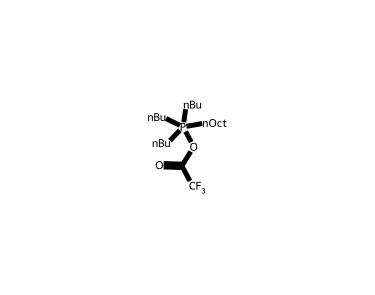 CCCCCCCCP(CCCC)(CCCC)(CCCC)OC(=O)C(F)(F)F